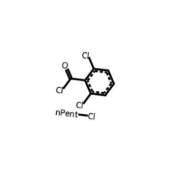 CCCCCCl.O=C(Cl)c1c(Cl)cccc1Cl